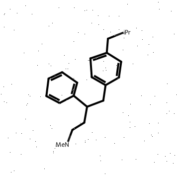 CNCCC(Cc1ccc(CC(C)C)cc1)c1ccccc1